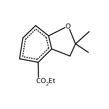 CCOC(=O)c1cccc2c1CC(C)(C)O2